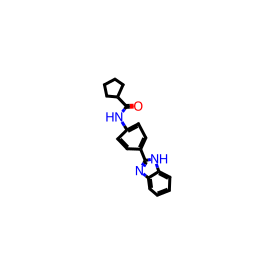 O=C(Nc1ccc(-c2nc3ccccc3[nH]2)cc1)C1CCCC1